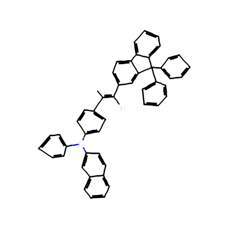 [2H]/C(=C(/[2H])c1ccc2c(c1)C(c1ccccc1)(c1ccccc1)c1ccccc1-2)c1ccc(N(c2ccccc2)c2ccc3ccccc3c2)cc1